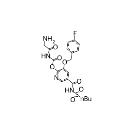 CCCCS(=O)(=O)NC(=O)c1cnc(OC(=O)NC(=O)CN)c(OCc2ccc(F)cc2)c1